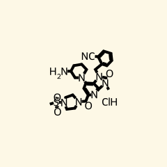 Cl.Cn1c(=O)n(Cc2ccccc2C#N)c2c(N3CCCC(N)C3)cc(C(=O)N3CCN(S(C)(=O)=O)CC3)nc21